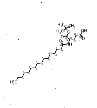 CCCCCCCCCCCCCCCC(=O)N[C@@H](CCC(=O)O)C(=O)OC(C)(C)C